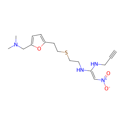 C#CCNC(=C[N+](=O)[O-])NCCSCCc1ccc(CN(C)C)o1